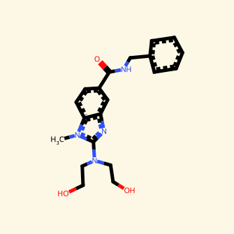 Cn1c(N(CCO)CCO)nc2cc(C(=O)NCc3ccccc3)ccc21